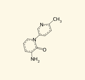 Cc1ccc(-n2cccc(N)c2=O)cn1